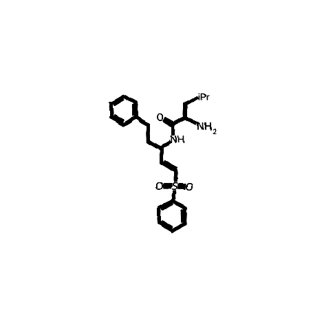 CC(C)CC(N)C(=O)NC(C=CS(=O)(=O)c1ccccc1)CCc1ccccc1